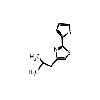 CC(C)Cc1csc(-c2cccs2)n1